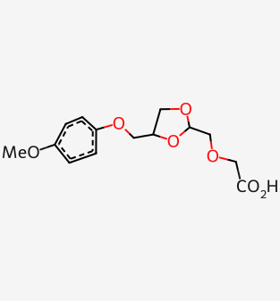 COc1ccc(OCC2COC(COCC(=O)O)O2)cc1